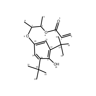 C=CC(=O)OC(C)C(C)Oc1cc(C(C)(C)C)c(O)c(C(C)(C)C)c1